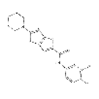 O=C(Nc1ccc(F)c(F)c1)c1cc2sc(N3CCCCC3)nc2s1